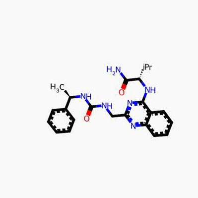 CC(C)[C@H](Nc1nc(CNC(=O)N[C@H](C)c2ccccc2)nc2ccccc12)C(N)=O